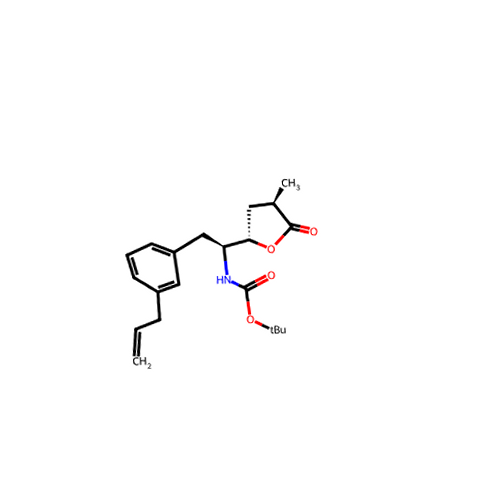 C=CCc1cccc(C[C@H](NC(=O)OC(C)(C)C)[C@@H]2C[C@@H](C)C(=O)O2)c1